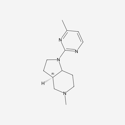 Cc1ccnc(N2CC[C@@H]3CN(C)CCC32)n1